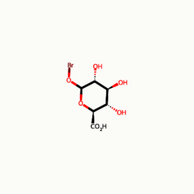 O=C(O)[C@H]1OC(OBr)[C@H](O)[C@@H](O)[C@@H]1O